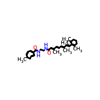 CC1=C(/C=C/C(C)=C/C=C/C(C)=C/C(=O)NCCNC(=O)C2=C/C=C\C(C)C\C=C\2)C(C)(C)CCC1